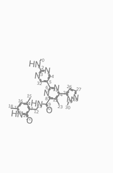 CNc1ncc(-c2nc(C(=O)NCc3c(C)cc(C)[nH]c3=O)c(C)c(-c3ccnn3C)n2)cn1